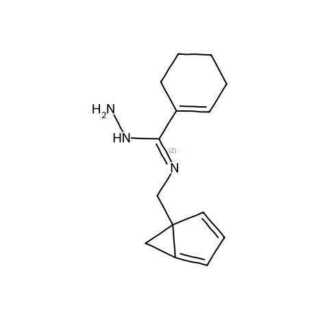 NN/C(=N\CC12C=CC=C1C2)C1=CCCCC1